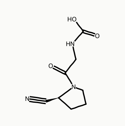 N#C[C@@H]1CCCN1C(=O)CNC(=O)O